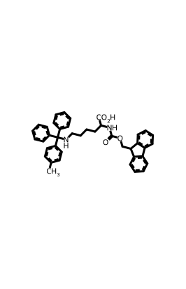 Cc1ccc(C(NCCCCC(NC(=O)OCC2c3ccccc3-c3ccccc32)C(=O)O)(c2ccccc2)c2ccccc2)cc1